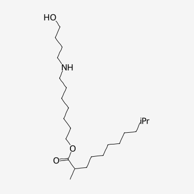 CC(C)CCCCCCCC(C)C(=O)OCCCCCCCNCCCCO